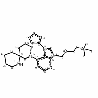 C[Si](C)(C)CCOCn1cc(-c2nccs2)c2c(N3CCC[C@]4(CCCCN4)C3)ccnc21